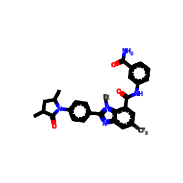 CCn1c(-c2ccc(N3C(=O)C(C)CC3C)cc2)nc2cc(C(F)(F)F)cc(C(=O)Nc3cccc(C(N)=O)c3)c21